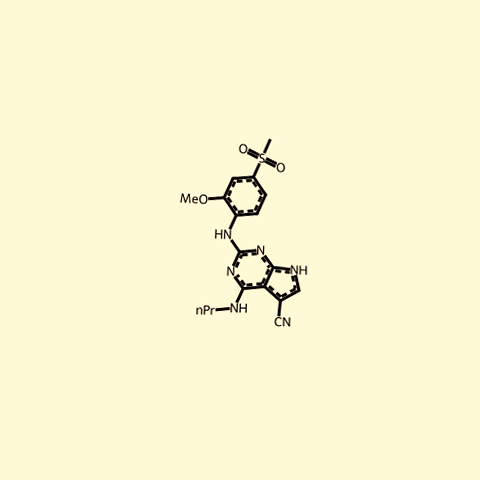 CCCNc1nc(Nc2ccc(S(C)(=O)=O)cc2OC)nc2[nH]cc(C#N)c12